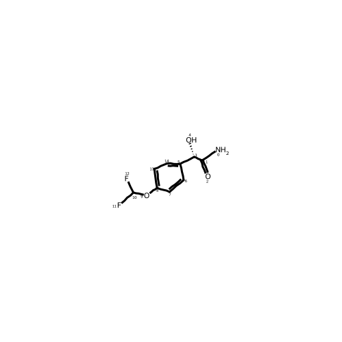 NC(=O)[C@@H](O)c1ccc(OC(F)F)cc1